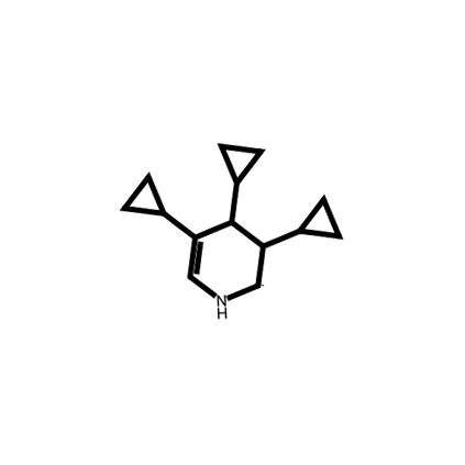 [CH]1NC=C(C2CC2)C(C2CC2)C1C1CC1